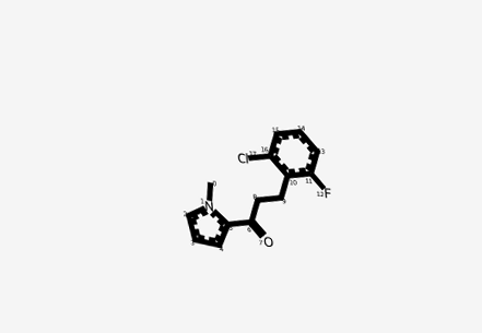 Cn1cccc1C(=O)CCc1c(F)cccc1Cl